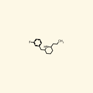 CCCC1CCCC(Cc2cccc(F)c2)N1